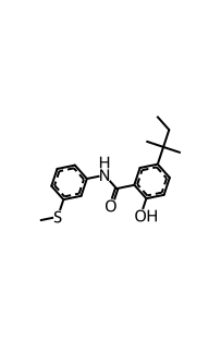 CCC(C)(C)c1ccc(O)c(C(=O)Nc2cccc(SC)c2)c1